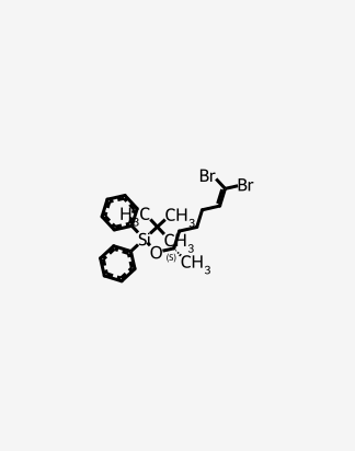 C[C@@H](CCCC=C(Br)Br)O[Si](c1ccccc1)(c1ccccc1)C(C)(C)C